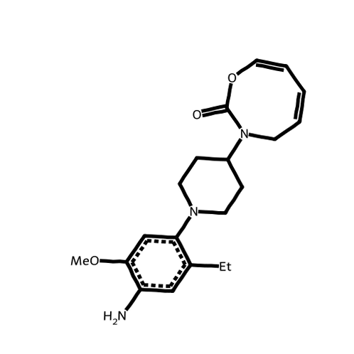 CCc1cc(N)c(OC)cc1N1CCC(N2CC=CC=COC2=O)CC1